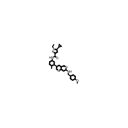 CCn1nc(C(=O)Nc2ccc(C)c(-c3cnc4cc(NCc5ccc(OC)cc5)ncc4c3)c2)cc1C1CC1